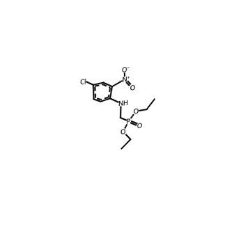 CCOP(=O)(CNc1ccc(Cl)cc1[N+](=O)[O-])OCC